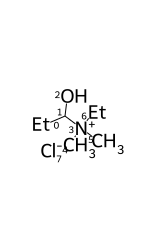 CCC(O)[N+](C)(C)CC.[Cl-]